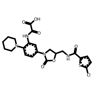 O=C(O)C(=O)Nc1cc(N2CC(CNC(=O)c3ccc(Cl)s3)OC2=O)ccc1N1CCCCC1